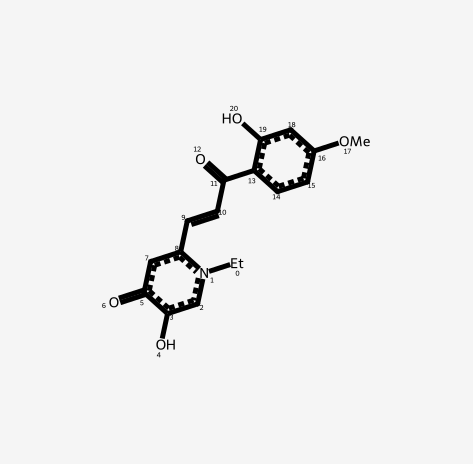 CCn1cc(O)c(=O)cc1C=CC(=O)c1ccc(OC)cc1O